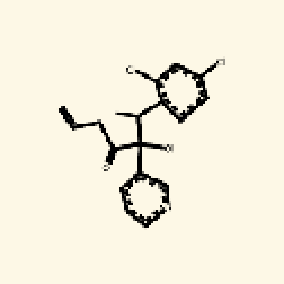 C=CCC(=O)C(O)(c1cccnc1)C(C)c1ccc(Cl)cc1Cl